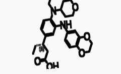 CC[C@@H](CC(=O)O)c1ccc(N(CC)C2CCOCC2)c(Nc2ccc3c(c2)OCCO3)c1